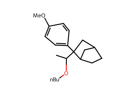 CCCCOC(C)C1(c2ccc(OC)cc2)CC2CCC1C2